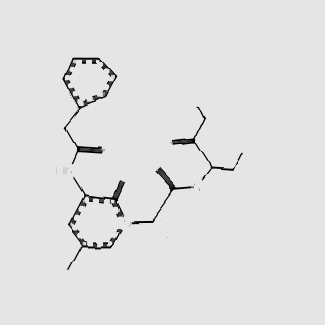 CC[C@@H](C(=O)NC(CC(=O)O)C(=O)CF)n1cc(C)cc(NC(=O)Cc2ccccc2)c1=O